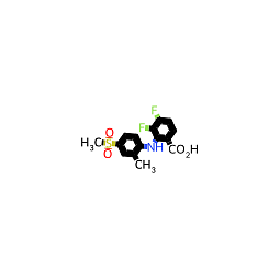 Cc1cc(S(C)(=O)=O)ccc1Nc1c(C(=O)O)ccc(F)c1F